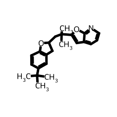 CC(C)(C)c1ccc2c(c1)CC(CC(C)(C)c1cc3cccnc3o1)O2